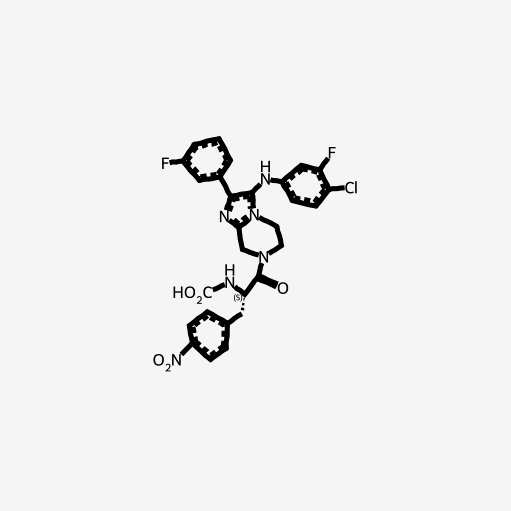 O=C(O)N[C@@H](Cc1ccc([N+](=O)[O-])cc1)C(=O)N1CCn2c(nc(-c3cccc(F)c3)c2Nc2ccc(Cl)c(F)c2)C1